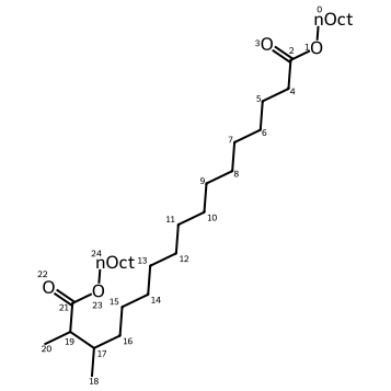 CCCCCCCCOC(=O)CCCCCCCCCCCCCC(C)C(C)C(=O)OCCCCCCCC